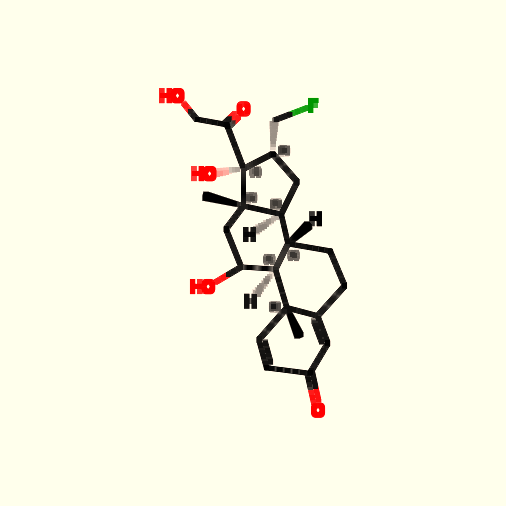 C[C@]12C=CC(=O)C=C1CC[C@@H]1[C@@H]2C(O)C[C@@]2(C)[C@H]1C[C@@H](CF)[C@]2(O)C(=O)CO